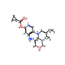 CC(C)CN(c1cnc(OC(=O)C2CC2)cc1N)C1CCOCC1